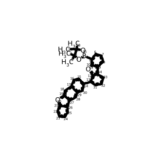 CC1(C)OB(c2cccc3c2oc2c(-c4ccc5cc6oc7ccccc7c6cc5c4)cccc23)OC1(C)C